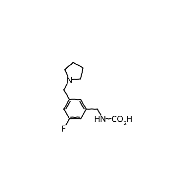 O=C(O)NCc1cc(F)cc(CN2CCCC2)c1